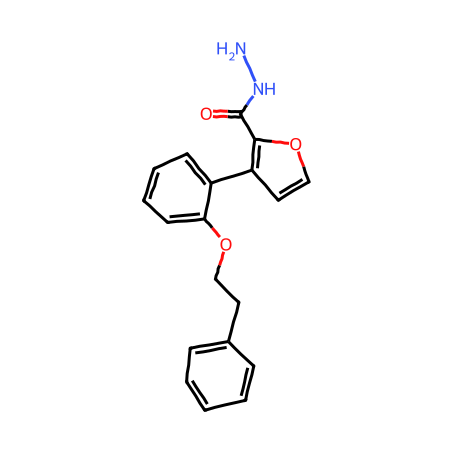 NNC(=O)c1occc1-c1ccccc1OCCc1ccccc1